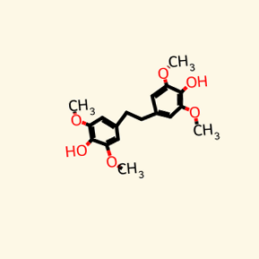 COc1cc(CCc2cc(OC)c(O)c(OC)c2)cc(OC)c1O